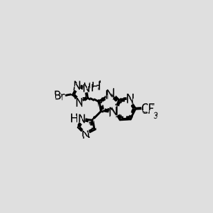 FC(F)(F)c1ccn2c(-c3cnc[nH]3)c(-c3nc(Br)n[nH]3)nc2n1